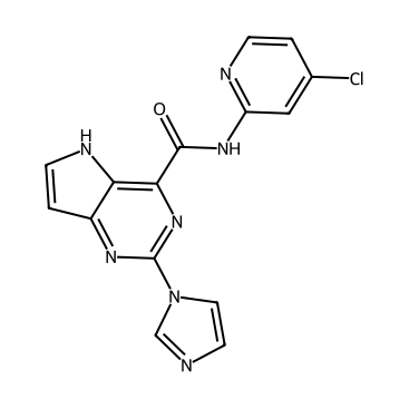 O=C(Nc1cc(Cl)ccn1)c1nc(-n2ccnc2)nc2cc[nH]c12